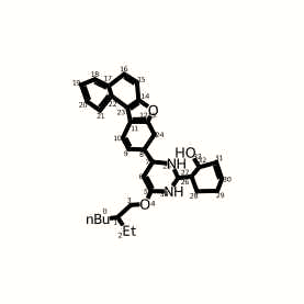 CCCCC(CC)COC1=CC(C2C=Cc3c(oc4ccc5ccccc5c34)C2)NC(C2CCC=CC2O)N1